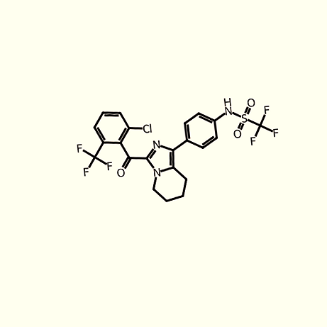 O=C(c1c(Cl)cccc1C(F)(F)F)c1nc(-c2ccc(NS(=O)(=O)C(F)(F)F)cc2)c2n1CCCC2